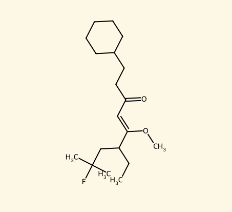 CCC(CC(C)(C)F)/C(=C/C(=O)CCC1CCCCC1)OC